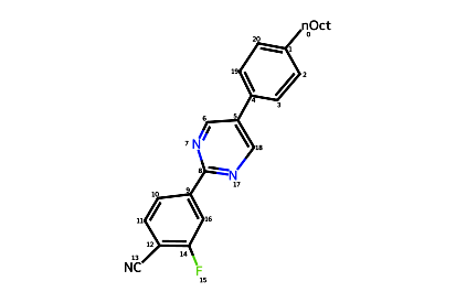 CCCCCCCCc1ccc(-c2cnc(-c3ccc(C#N)c(F)c3)nc2)cc1